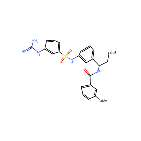 COc1cccc(C(=O)NC(CC(=O)O)c2cccc(NS(=O)(=O)c3cccc(NC(=N)N)c3)c2)c1